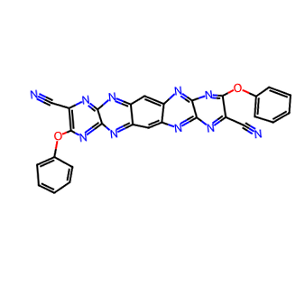 N#Cc1nc2nc3cc4nc5nc(Oc6ccccc6)c(C#N)nc5nc4cc3nc2nc1Oc1ccccc1